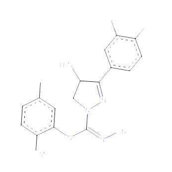 COc1ccc(C(F)(F)F)cc1N/C(=N/C#N)N1CC(N)C(c2ccc(Cl)c(Cl)c2)=N1